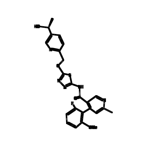 COc1cccc(F)c1-c1cc(C)ncc1C(=O)Nc1nnc(OCc2ccc([C@H](C)O)cn2)s1